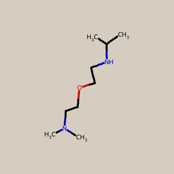 CC(C)NCCOCCN(C)C